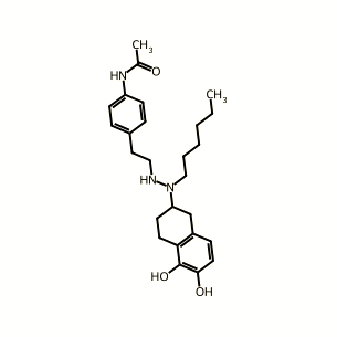 CCCCCCN(NCCc1ccc(NC(C)=O)cc1)C1CCc2c(ccc(O)c2O)C1